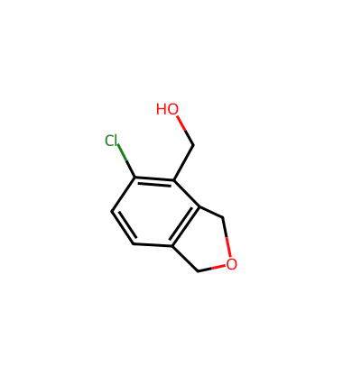 OCc1c(Cl)ccc2c1COC2